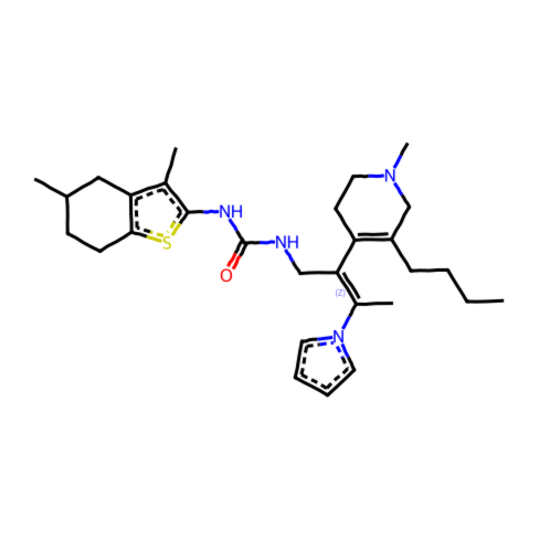 CCCCC1=C(/C(CNC(=O)Nc2sc3c(c2C)CC(C)CC3)=C(\C)n2cccc2)CCN(C)C1